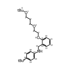 CC(C)(C)OCCCOCCOc1ccccc1CNc1ccc(C(C)(C)C)cc1